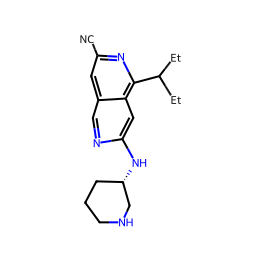 CCC(CC)c1nc(C#N)cc2cnc(N[C@H]3CCCNC3)cc12